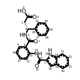 O=C(O)C[C@@H](NC(=O)c1ccccc1NC(=O)c1cc2ccccc2[nH]1)c1ccccc1